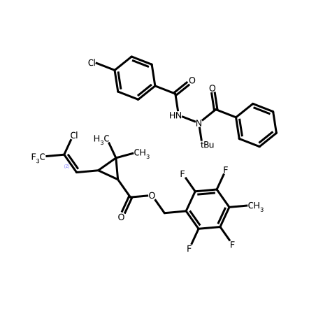 CC(C)(C)N(NC(=O)c1ccc(Cl)cc1)C(=O)c1ccccc1.Cc1c(F)c(F)c(COC(=O)C2C(/C=C(\Cl)C(F)(F)F)C2(C)C)c(F)c1F